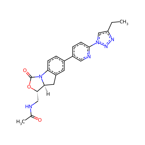 CCc1cn(-c2ccc(-c3ccc4c(c3)C[C@H]3[C@H](CNC(C)=O)OC(=O)N43)cn2)nn1